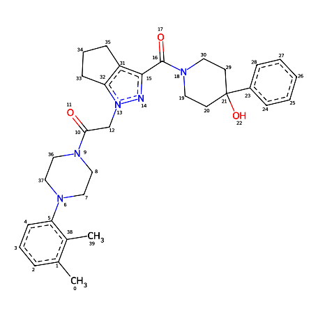 Cc1cccc(N2CCN(C(=O)Cn3nc(C(=O)N4CCC(O)(c5ccccc5)CC4)c4c3CCC4)CC2)c1C